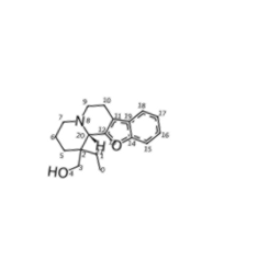 CCC1(CO)CCCN2CCc3c(oc4ccccc34)[C@@H]21